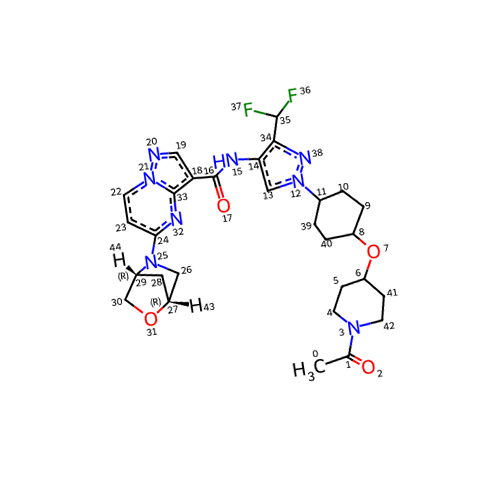 CC(=O)N1CCC(OC2CCC(n3cc(NC(=O)c4cnn5ccc(N6C[C@H]7C[C@@H]6CO7)nc45)c(C(F)F)n3)CC2)CC1